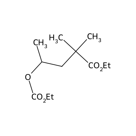 CCOC(=O)OC(C)CC(C)(C)C(=O)OCC